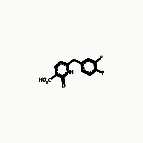 O=C(O)c1ccc(Cc2ccc(F)c(F)c2)[nH]c1=O